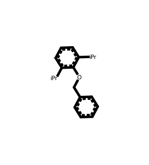 CC(C)c1[c]ccc(C(C)C)c1OCc1ccccc1